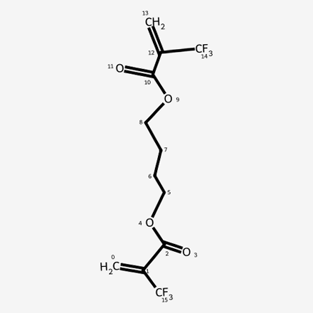 C=C(C(=O)OCCCCOC(=O)C(=C)C(F)(F)F)C(F)(F)F